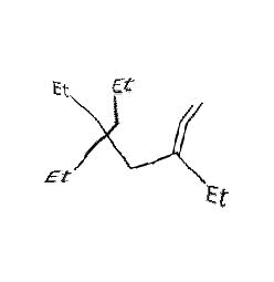 C=C(CC)CC(CC)(CC)CC